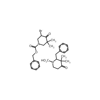 CC1(C)C(=O)CCN(C(=O)O)C1Cc1ccccc1.CC1(C)CN(C(=O)OCc2ccccc2)CC(Br)C1=O